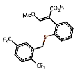 COC=C(C(=O)O)c1ccccc1SCc1cc(C(F)(F)F)ccc1C(F)(F)F